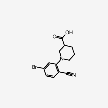 N#Cc1ccc(Br)cc1N1CCCC(C(=O)O)C1